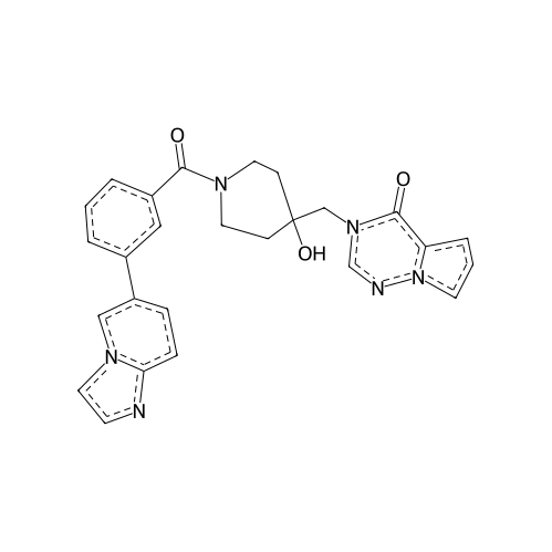 O=C(c1cccc(-c2ccc3nccn3c2)c1)N1CCC(O)(Cn2cnn3cccc3c2=O)CC1